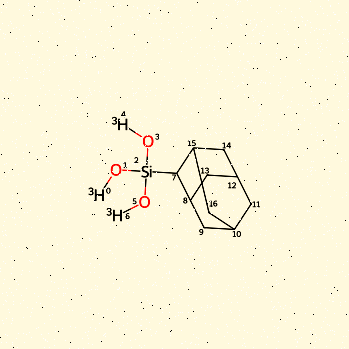 [3H]O[Si](O[3H])(O[3H])C1C2CC3CC(C2)CC1C3